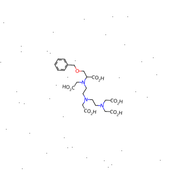 O=C(O)CN(CCN(CC(=O)O)CC(=O)O)CCN(CC(=O)O)C(COCc1ccccc1)C(=O)O